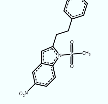 CS(=O)(=O)n1c(CCc2ccccc2)cc2cc([N+](=O)[O-])ccc21